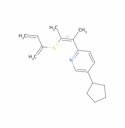 C=CC(=C)S/C(C)=C(/C)c1ccc(C2CCCC2)cn1